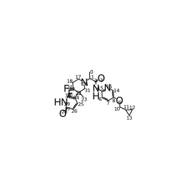 CC(C(=O)Nc1ccc(OCC2CC2)cn1)N1CCC(F)(F)C(C)(c2ccc(=O)[nH]c2)C1